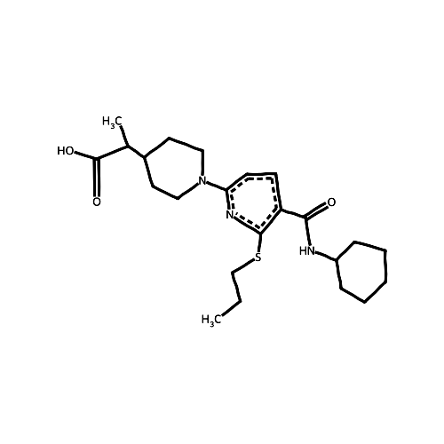 CCCSc1nc(N2CCC(C(C)C(=O)O)CC2)ccc1C(=O)NC1CCCCC1